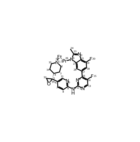 CCN1CCC([C@@]2(c3ccc(Nc4ncc(F)c(-c5cc(F)c6nc(C)n(C(C)C)c6c5)n4)nc3)CO2)CC1